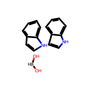 OBO.c1ccc2[nH]ccc2c1.c1ccc2[nH]ccc2c1